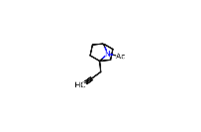 C#CCC12CCC(CC1)N2C(C)=O